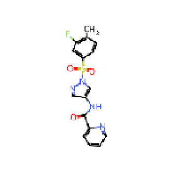 Cc1ccc(S(=O)(=O)n2cc(NC(=O)c3ccccn3)cn2)cc1F